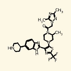 Cc1nc(C)n(CC(=O)N2CCN(c3sc(C(F)(F)F)nc3-c3nc4ccc(C5CCNCC5)cc4[nH]3)CC2C)n1